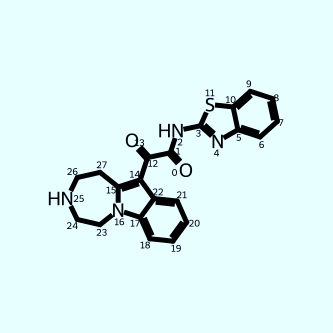 O=C(Nc1nc2ccccc2s1)C(=O)c1c2n(c3ccccc13)CCNCC2